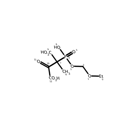 CCOCOP(=O)(O)C(C)(C(=O)O)C(=O)C(=O)O